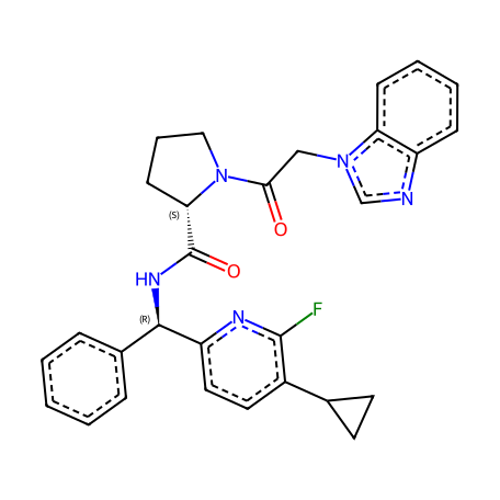 O=C(N[C@H](c1ccccc1)c1ccc(C2CC2)c(F)n1)[C@@H]1CCCN1C(=O)Cn1cnc2ccccc21